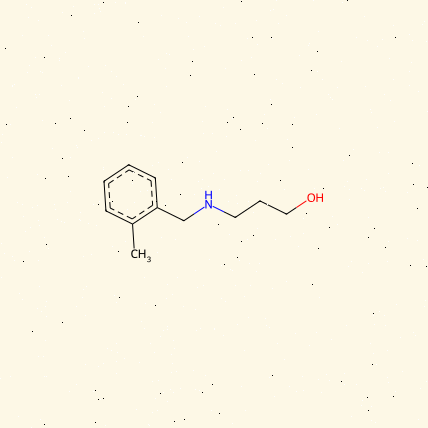 Cc1ccccc1CNCCCO